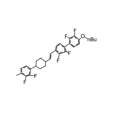 CCCCOc1ccc(-c2ccc(/C=C/C3CCC(c4ccc(C)c(F)c4F)CC3)c(F)c2F)c(F)c1F